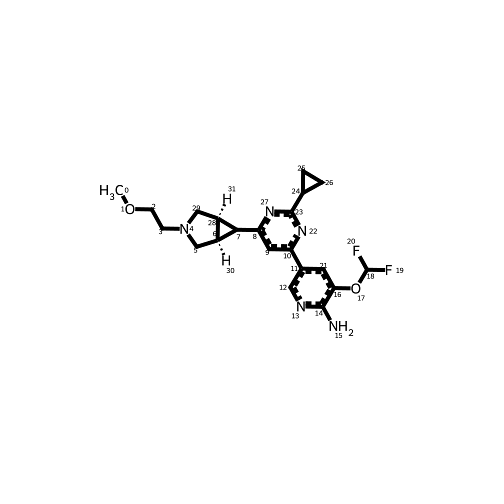 COCCN1C[C@@H]2C(c3cc(-c4cnc(N)c(OC(F)F)c4)nc(C4CC4)n3)[C@@H]2C1